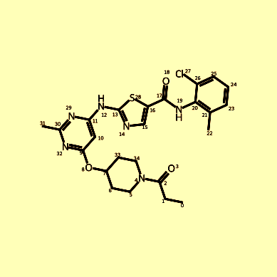 CCC(=O)N1CCC(Oc2cc(Nc3ncc(C(=O)Nc4c(C)cccc4Cl)s3)nc(C)n2)CC1